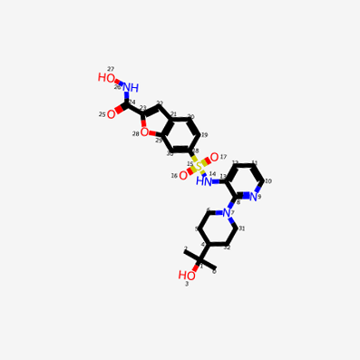 CC(C)(O)C1CCN(c2ncccc2NS(=O)(=O)c2ccc3cc(C(=O)NO)oc3c2)CC1